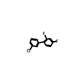 Fc1ccc(-c2[c]ccc(Cl)c2)c(F)c1